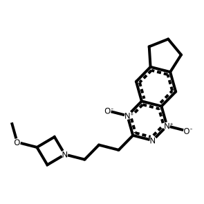 COC1CN(CCCc2n[n+]([O-])c3cc4c(cc3[n+]2[O-])CCC4)C1